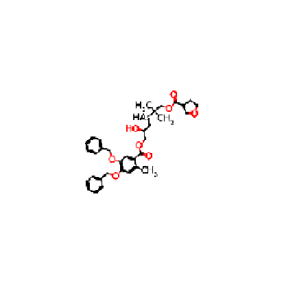 Cc1cc(OCc2ccccc2)c(OCc2ccccc2)cc1C(=O)OCC(O)C[AsH]C(C)(C)COC(=O)C1CCOC1